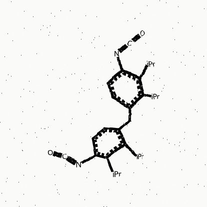 CC(C)c1c(Cc2ccc(N=C=O)c(C(C)C)c2C(C)C)ccc(N=C=O)c1C(C)C